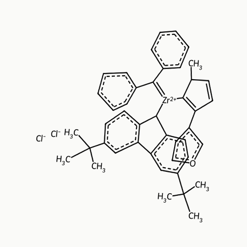 CC1C=CC(c2ccoc2)=[C]1[Zr+2](=[C](c1ccccc1)c1ccccc1)[CH]1c2ccc(C(C)(C)C)cc2-c2cc(C(C)(C)C)ccc21.[Cl-].[Cl-]